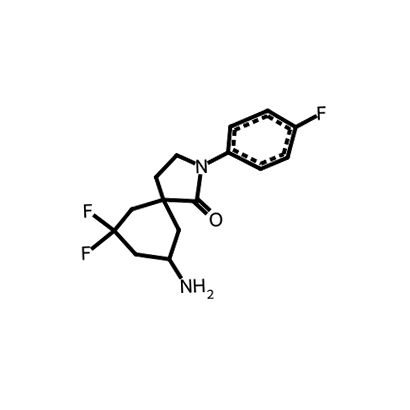 NC1CC(F)(F)CC2(CCN(c3ccc(F)cc3)C2=O)C1